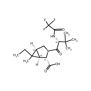 CCC1(C)[C@@H]2[C@@H](C(=O)O)N(C(=O)[C@H](NC(=O)C(F)(F)F)C(C)(C)C)C[C@@H]21